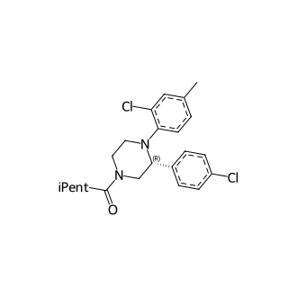 CCCC(C)C(=O)N1CCN(c2ccc(C)cc2Cl)[C@H](c2ccc(Cl)cc2)C1